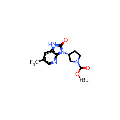 CC(C)(C)OC(=O)N1CC[C@H](n2c(=O)[nH]c3cc(C(F)(F)F)cnc32)C1